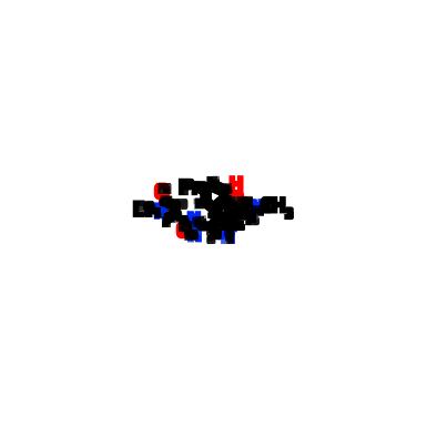 CCN1C[C@@H](c2nc(-c3cncc([C@@](O)(c4ccc(C(C)C)cc4)C4(C)CN(C)C4)c3)no2)CC1=O